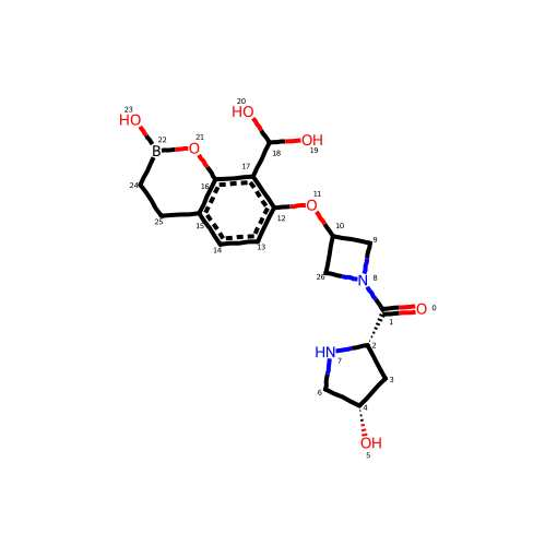 O=C([C@@H]1C[C@H](O)CN1)N1CC(Oc2ccc3c(c2C(O)O)OB(O)CC3)C1